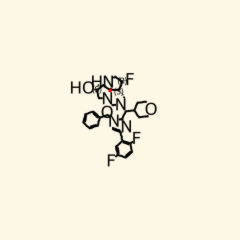 O=C(N1C[CH][C@H](O)C1)N(C[C@@H]1CNC[C@@H]1F)C(c1nc(-c2cc(F)ccc2F)cn1Cc1ccccc1)C1CCOCC1